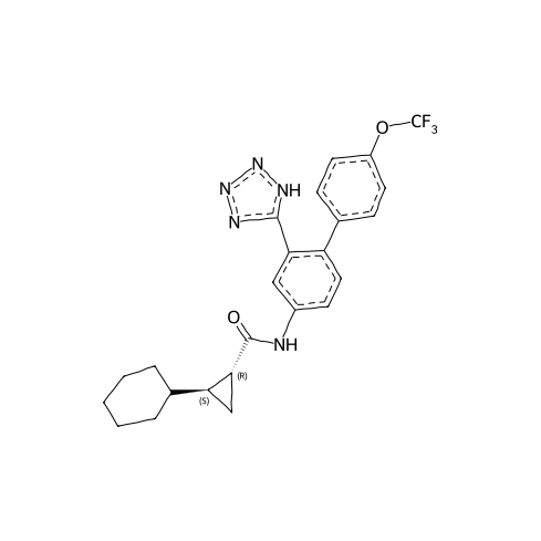 O=C(Nc1ccc(-c2ccc(OC(F)(F)F)cc2)c(-c2nnn[nH]2)c1)[C@@H]1C[C@H]1C1CCCCC1